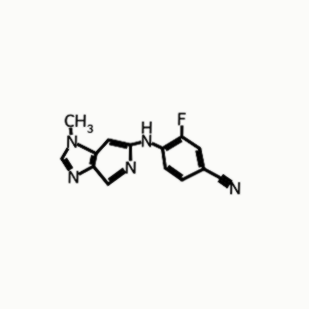 Cn1cnc2cnc(Nc3ccc(C#N)cc3F)cc21